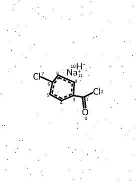 O=C(Cl)c1ccc(Cl)cc1.[H-].[Na+]